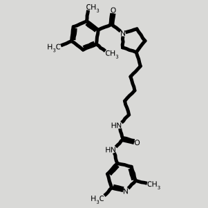 Cc1cc(C)c(C(=O)N2CCC(CCCCCNC(=O)Nc3cc(C)nc(C)c3)C2)c(C)c1